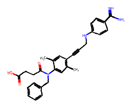 Cc1cc(N(Cc2ccccc2)C(=O)CCC(=O)O)c(C)cc1C#CCNc1ccc(C(=N)N)cc1